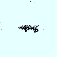 O=C(C=Cc1ccc2cc(OCC(O)CCc3cccnc3)ccc2c1)Nc1ccccc1